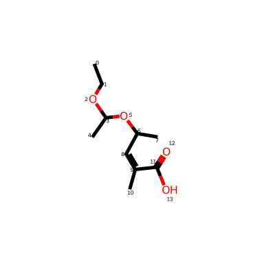 CCOC(C)OC(C)C=C(C)C(=O)O